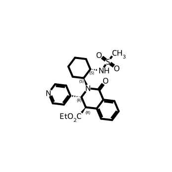 CCOC(=O)[C@@H]1c2ccccc2C(=O)N([C@H]2CCCC[C@@H]2NS(C)(=O)=O)[C@H]1c1ccncc1